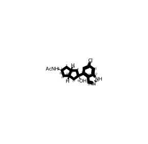 CC(=O)N[C@@H]1C[C@@H]2C[C@@](O)(c3cc(Cl)cc4[nH]ncc34)C[C@@H]2C1